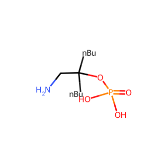 CCCCC(CN)(CCCC)OP(=O)(O)O